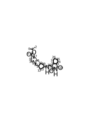 C=C(C)OC(=O)N1CCN(Cc2ccc(N/C=C3\C(=O)NC(=O)c4ccccc43)cc2)CC1